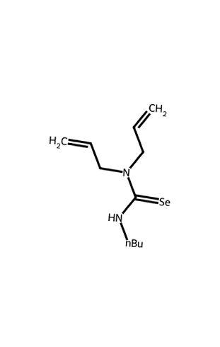 C=CCN(CC=C)C(=[Se])NCCCC